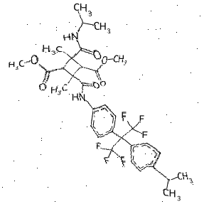 COC(=O)C1C(C)(C(=O)Nc2ccc(C(c3ccc(C(C)C)cc3)(C(F)(F)F)C(F)(F)F)cc2)C(C(=O)OC)C1(C)C(=O)NC(C)C